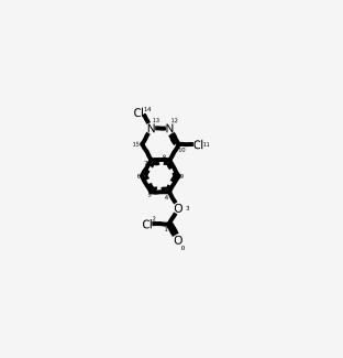 O=C(Cl)Oc1ccc2c(c1)C(Cl)=NN(Cl)C2